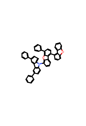 c1ccc(-c2ccc3c(c2)c2cc(-c4ccccc4)ccc2n3-c2cccc3c2oc2c(-c4ccccc4)ccc(-c4cccc5oc6ccccc6c45)c23)cc1